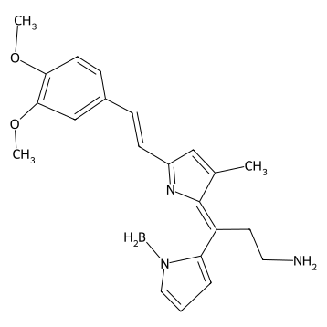 Bn1cccc1/C(CCN)=C1N=C(/C=C/c2ccc(OC)c(OC)c2)C=C\1C